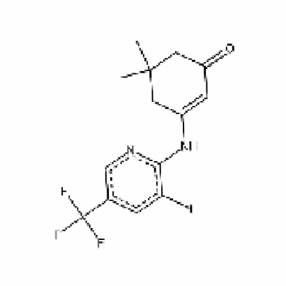 CC1(C)CC(=O)C=C(Nc2ncc(C(F)(F)F)cc2I)C1